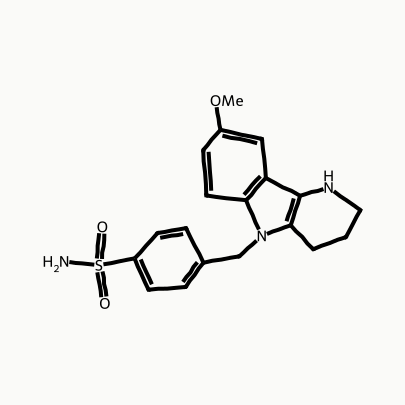 COc1ccc2c(c1)c1c(n2Cc2ccc(S(N)(=O)=O)cc2)CCCN1